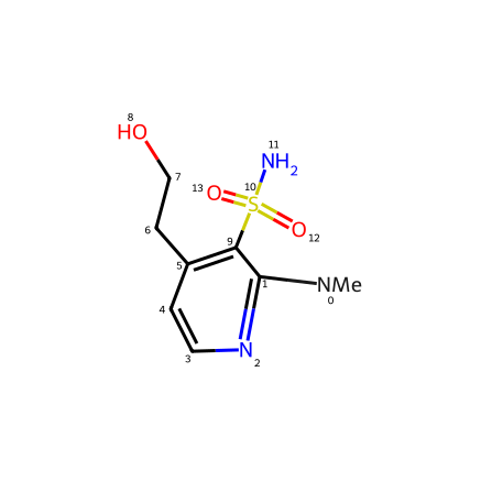 CNc1nccc(CCO)c1S(N)(=O)=O